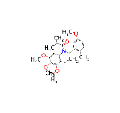 C=Cc1c(N(Cc2cc(OC)ccc2C)C(=O)C(C)C)cc(OC)c(OC)c1OC